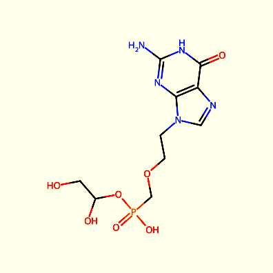 Nc1nc2c(ncn2CCOCP(=O)(O)OC(O)CO)c(=O)[nH]1